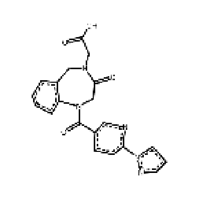 O=C(O)CN1Cc2ccccc2N(C(=O)c2ccc(-n3cccn3)nc2)CC1=O